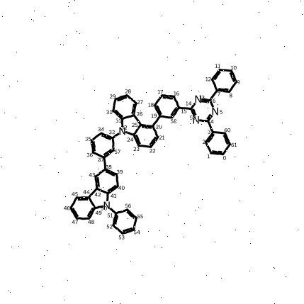 c1ccc(-c2nc(-c3ccccc3)nc(-c3cccc(-c4cccc5c4c4ccccc4n5-c4cccc(-c5ccc6c(c5)c5ccccc5n6-c5ccccc5)c4)c3)n2)cc1